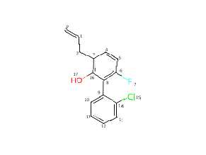 C=CCc1ccc(F)c(-c2ccccc2Cl)c1O